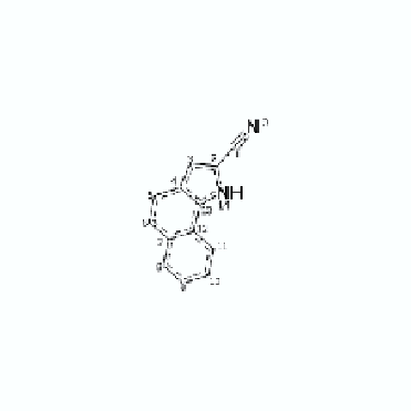 N#Cc1cc2ccc3ccccc3c2[nH]1